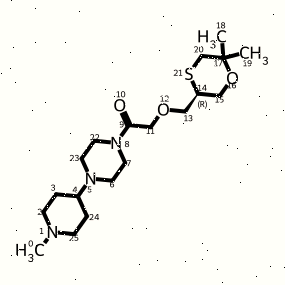 CN1CCC(N2CCN(C(=O)COC[C@@H]3COC(C)(C)CS3)CC2)CC1